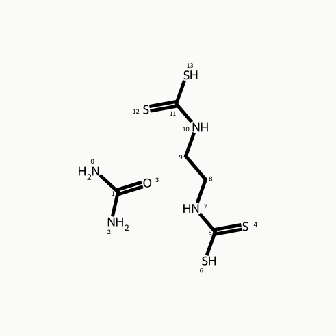 NC(N)=O.S=C(S)NCCNC(=S)S